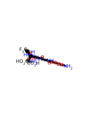 NCCOCCOCCOCCOCC(=O)NCCCCCC(=O)NCCCCCC(=O)Nc1cc(CO[C@H](C(=O)O)[C@H](N)C(=O)O)cc(NC(=O)c2ccc(C(F)(F)F)cc2)c1